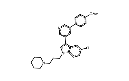 COc1ccc(-c2cncc(-c3cn(CCCN4CCCCC4)c4ccc(Cl)cc34)c2)cc1